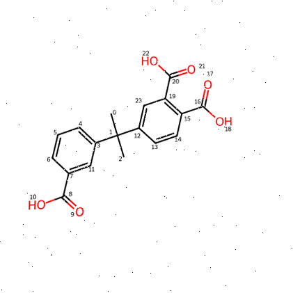 CC(C)(c1cccc(C(=O)O)c1)c1ccc(C(=O)O)c(C(=O)O)c1